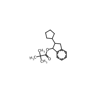 CC(C)(C)C(=O)OC1c2ccccc2CC1C1CCCC1